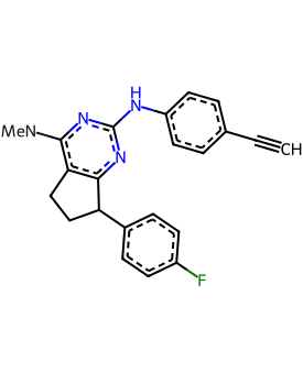 C#Cc1ccc(Nc2nc(NC)c3c(n2)C(c2ccc(F)cc2)CC3)cc1